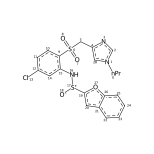 CCCn1cnc(CS(=O)(=O)c2ccc(Cl)cc2N[S+]([O-])c2cc3ccccc3o2)c1